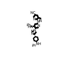 CC(C)Nc1cc(-n2ncc3cc(C#N)cnc32)ncc1-n1cc([C@H]2CC[C@H](NC(C)C)CC2)nn1